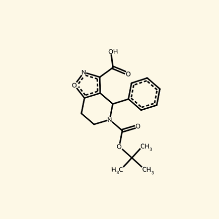 CC(C)(C)OC(=O)N1CCc2onc(C(=O)O)c2C1c1ccccc1